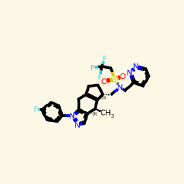 C[C@@H]1C2=C(CC[C@@H]2CN(Cc2cccnn2)S(=O)(=O)CC(F)(F)F)Cc2c1cnn2-c1ccc(F)cc1